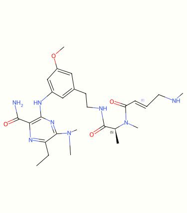 CCc1nc(C(N)=O)c(Nc2cc(CCNC(=O)[C@H](C)N(C)C(=O)/C=C/CNC)cc(OC)c2)nc1N(C)C